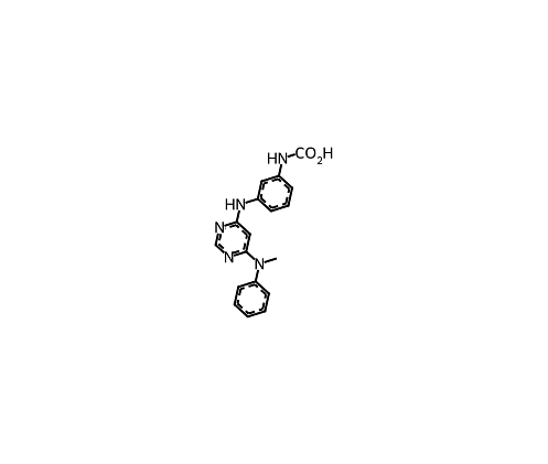 CN(c1ccccc1)c1cc(Nc2cccc(NC(=O)O)c2)ncn1